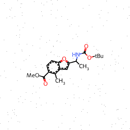 COC(=O)c1ccc2oc(C(C)NC(=O)OC(C)(C)C)cc2c1C